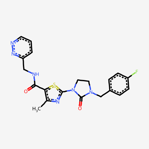 Cc1nc(N2CCN(Cc3ccc(F)cc3)C2=O)sc1C(=O)NCc1cccnn1